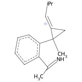 CC(=N)c1ccccc1C1(C)C/C1=C\C(C)C